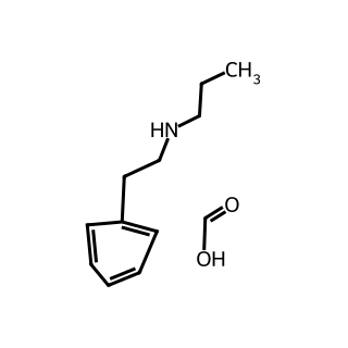 CCCNCCc1ccccc1.O=CO